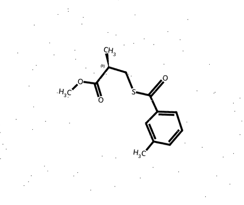 COC(=O)[C@@H](C)CSC(=O)c1cccc(C)c1